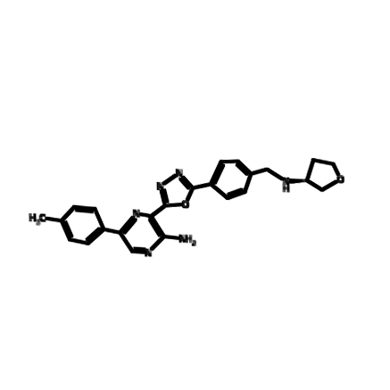 Cc1ccc(-c2cnc(N)c(-c3nnc(-c4ccc(CN[C@H]5CCOC5)cc4)o3)n2)cc1